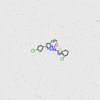 CCCc1[c]c(-c2ccc(Cl)cc2)nn1C(=O)Nc1nc2c(Cl)cccc2s1